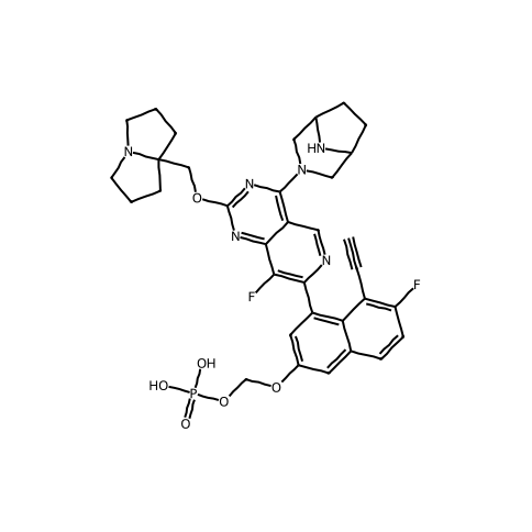 C#Cc1c(F)ccc2cc(OCOP(=O)(O)O)cc(-c3ncc4c(N5CC6CCC(C5)N6)nc(OCC56CCCN5CCC6)nc4c3F)c12